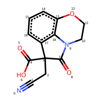 N#CCC1(C(=O)O)C(=O)N2CCOc3cccc1c32